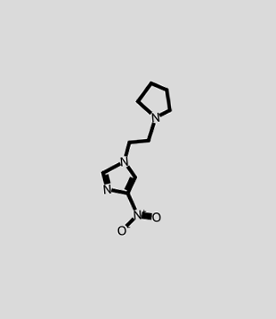 O=[N+]([O-])c1cn(CCN2CCCC2)cn1